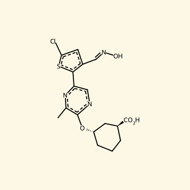 Cc1nc(-c2sc(Cl)cc2/C=N/O)cnc1O[C@H]1CCC[C@H](C(=O)O)C1